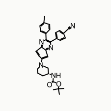 Cc1ccc(-c2nc3ccc(N4CCC[C@H](NC(=O)OC(C)(C)C)C4)cc3nc2-c2ccc(C#N)cc2)cc1